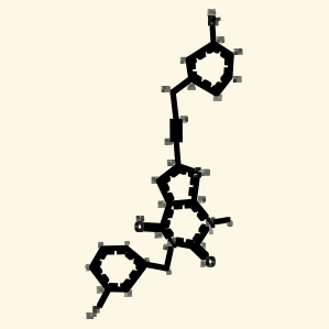 Cn1c(=O)n(Cc2cccc(F)c2)c(=O)c2cc(C#CCc3cccc(Br)c3)sc21